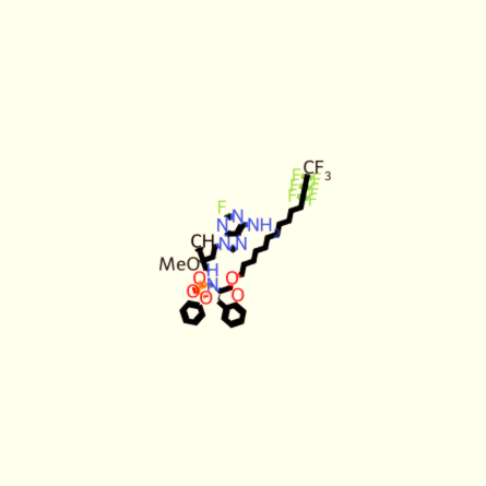 C#C[C@](CCn1cnc2c(N)nc(F)nc21)(COP(=O)(N[C@@H](Cc1ccccc1)C(=O)OCCCCCCCCCCCC(F)(F)C(F)(F)C(F)(F)C(F)(F)F)Oc1ccccc1)OC